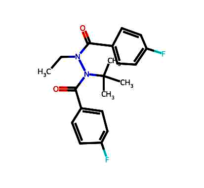 CCN(C(=O)c1ccc(F)cc1)N(C(=O)c1ccc(F)cc1)C(C)(C)C